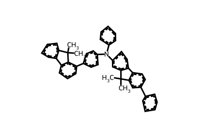 CC1(C)c2cc(-c3ccccc3)ccc2-c2ccc(N(c3ccccc3)c3ccc(-c4cccc5c4C(C)(C)c4ccccc4-5)cc3)cc21